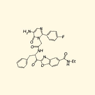 CCNC(=O)c1ccc2oc(C(=O)C(Cc3ccccc3)NC(=O)Cn3c(-c4ccc(F)cc4)ncc(N)c3=O)nc2c1